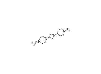 CCN1CCC(N2CC(N3CCN(C)CC3)C2)CC1